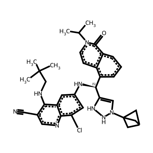 CC(C)n1ccc2c([C@H](Nc3cc(Cl)c4ncc(C#N)c(NCC(C)(C)C)c4c3)C3=CN(C45CC(C4)C5)NN3)cccc2c1=O